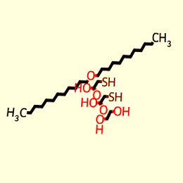 CCCCCCCCCCCCOCCCCCCCCCCCC.O=C(O)CS.O=C(O)CS.OCCO